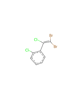 ClC(=C(Br)Br)c1ccccc1Cl